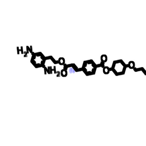 CCCOC1CCC(OC(=O)c2ccc(/C=C/C(=O)OCCc3cc(N)ccc3N)cc2)CC1